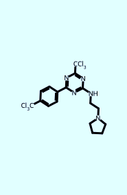 ClC(Cl)(Cl)c1ccc(-c2nc(NCCN3CCCC3)nc(C(Cl)(Cl)Cl)n2)cc1